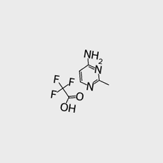 Cc1nccc(N)n1.O=C(O)C(F)(F)F